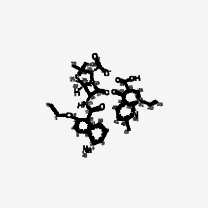 CCOc1ccc2ccccc2c1C(=O)N[C@@H]1C(=O)N2[C@@H]1SC(C)(C)[C@@H]2C(=O)[O-].CCn1cc(C(=O)O)c(=O)c2ccc(C)nc21.[Na+]